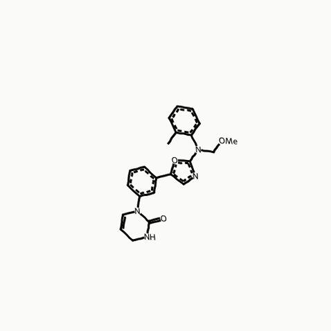 COCN(c1ncc(-c2cccc(N3C=CCNC3=O)c2)o1)c1ccccc1C